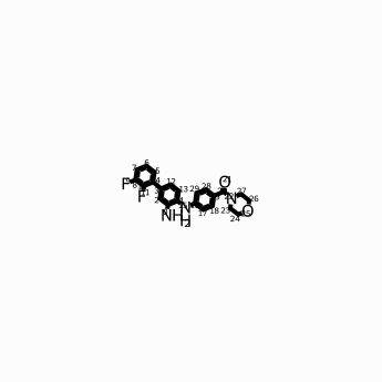 Nc1cc(-c2cccc(F)c2F)ccc1Nc1ccc(C(=O)N2CCOCC2)cc1